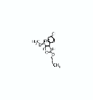 CCCCOC(=O)NC(C(=O)N(C)OC)c1ccc(Cl)cc1